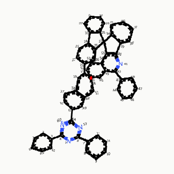 c1ccc(-c2nc(-c3ccccc3)nc(-c3ccc4cc(-c5ccc6c(c5)C5(c7ccccc7-6)c6ccccc6-c6nc(-c7ccccc7)c7ccccc7c65)ccc4c3)n2)cc1